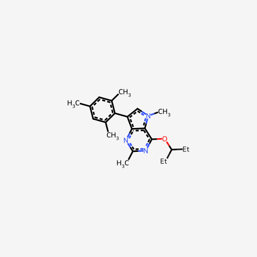 CCC(CC)Oc1nc(C)nc2c(-c3c(C)cc(C)cc3C)cn(C)c12